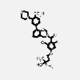 CC(C)(O)CCOc1cc(Cl)c(C(=O)N2COc3c(cccc3-c3ccc(C(=O)O)c(N4CCOCC4)c3)C2)c(Cl)c1